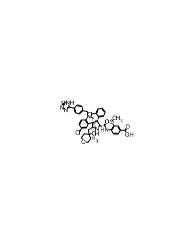 COc1cc(C(=O)O)ccc1NC(=O)[C@@H]1N[C@@H](CC2(C)CCOCC2)[C@@]2(CN(Cc3ccc(-c4nnn[nH]4)cc3)c3ccc(Cl)cc32)[C@H]1c1ccccc1Cl